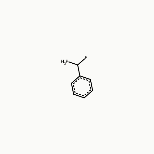 FC(P)c1ccccc1